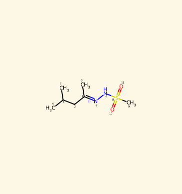 C/C(CC(C)C)=N\NS(C)(=O)=O